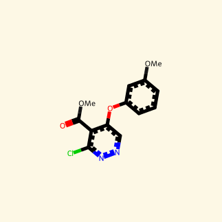 COC(=O)c1c(Oc2cccc(OC)c2)cnnc1Cl